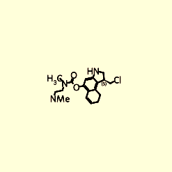 CNCCN(C)C(=O)Oc1cc2c(c3c1C=CCC3)[C@H](CCl)CN2